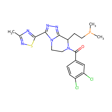 Cc1nsc(-c2nnc3n2CCN(C(=O)c2ccc(Cl)c(Cl)c2)C3CCP(C)C)n1